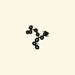 c1cc(-c2ccc(N(c3ccc(-c4cccc5c4oc4ccccc45)cc3)c3cccc(C45C[C@@H]6CC7C[C@@H](C4)C76C5)c3)cc2)cc(-n2c3ccccc3c3c4ccccc4ccc32)c1